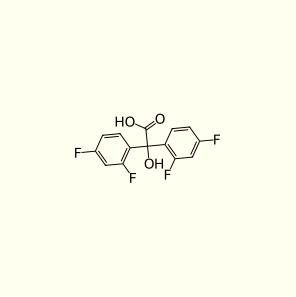 O=C(O)C(O)(c1ccc(F)cc1F)c1ccc(F)cc1F